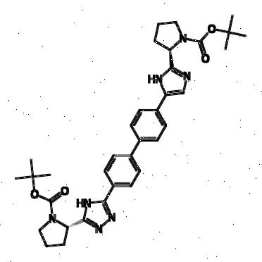 CC(C)(C)OC(=O)N1CCC[C@@H]1c1ncc(-c2ccc(-c3ccc(-c4nnc([C@@H]5CCCN5C(=O)OC(C)(C)C)[nH]4)cc3)cc2)[nH]1